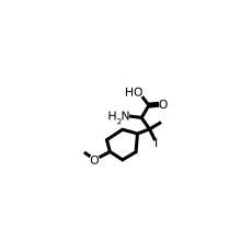 COC1CCC(C(C)(I)C(N)C(=O)O)CC1